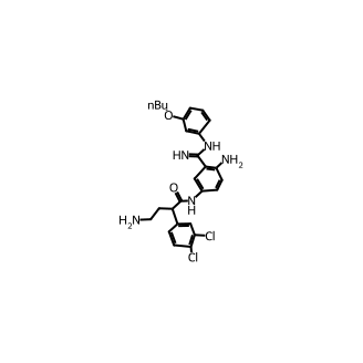 CCCCOc1cccc(NC(=N)c2cc(NC(=O)C(CCN)c3ccc(Cl)c(Cl)c3)ccc2N)c1